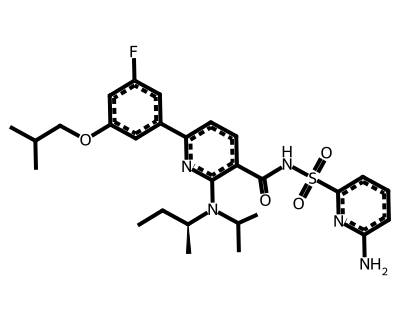 CC[C@H](C)N(c1nc(-c2cc(F)cc(OCC(C)C)c2)ccc1C(=O)NS(=O)(=O)c1cccc(N)n1)C(C)C